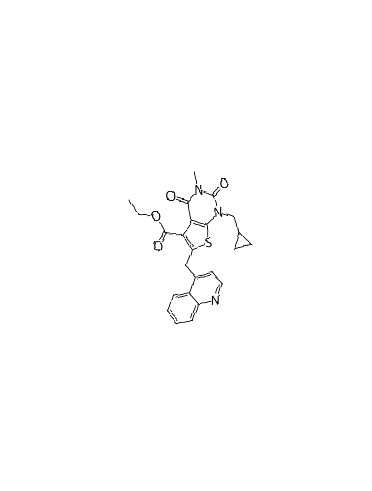 CCOC(=O)c1c(Cc2ccnc3ccccc23)sc2c1c(=O)n(C)c(=O)n2CC1CC1